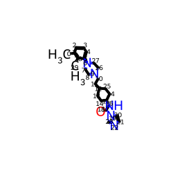 Cc1cccc(N2CCN(CCC3CCC(NC(=O)n4ccnc4)CC3)CC2)c1C